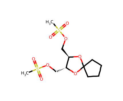 CS(=O)(=O)OC[C@H]1OC2(CCCC2)O[C@@H]1COS(C)(=O)=O